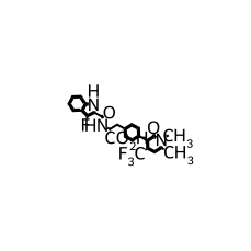 Cc1cc(C(F)(F)F)c(-c2ccc(C[C@H](NC(=O)c3[nH]c4ccccc4c3F)C(=O)O)cc2)c(=O)n1C